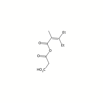 CCC(CC)=C(C)C(=O)OC(=O)CC(=O)O